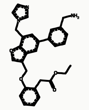 CCOC(=O)Cc1ccccc1OCc1coc2c(Cn3ccnc3)cc(-c3cccc(CN)c3)cc12